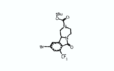 CC(C)(C)OC(=O)N1CCN2C(=O)c3c(cc(Br)cc3C(F)(F)F)C2C1